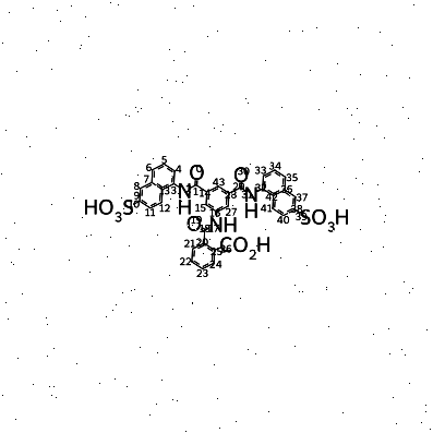 O=C(Nc1cccc2cc(S(=O)(=O)O)ccc12)c1cc(NC(=O)c2ccccc2C(=O)O)cc(C(=O)Nc2cccc3cc(S(=O)(=O)O)ccc23)c1